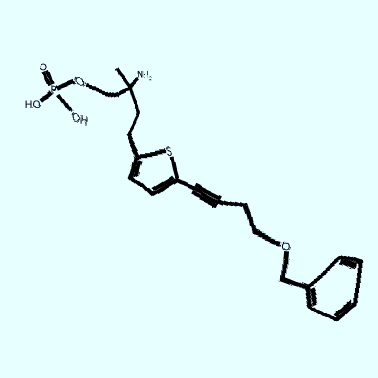 CC(N)(CCc1ccc(C#CCCOCc2ccccc2)s1)COP(=O)(O)O